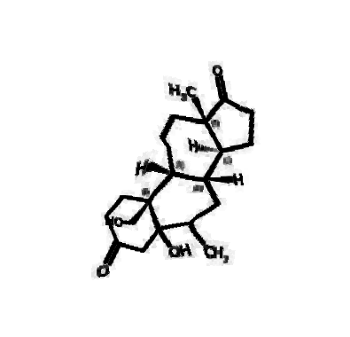 CC1C[C@@H]2[C@@H](CC[C@]3(C)C(=O)CC[C@@H]23)[C@@]2(CO)CCC(=O)CC12O